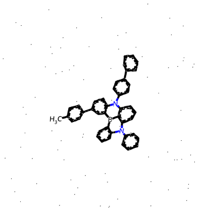 Cc1ccc(-c2ccc3c(c2)B2c4ccccc4N(c4ccccc4)c4cccc(c42)N3c2ccc(-c3ccccc3)cc2)cc1